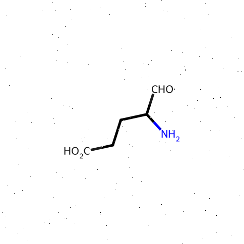 NC([C]=O)CCC(=O)O